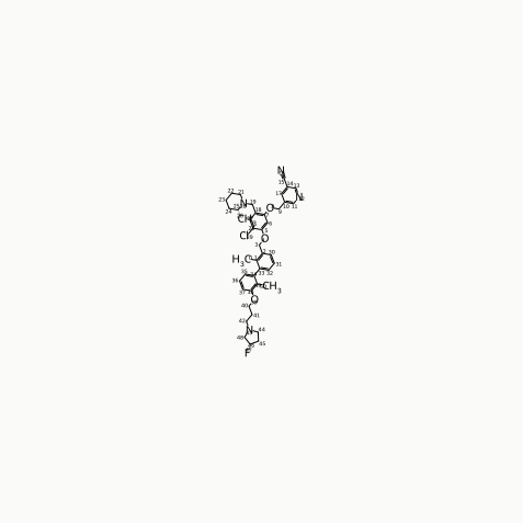 Cc1c(COc2cc(OCc3cncc(C#N)c3)c(CN3CCCC[C@H]3C)cc2Cl)cccc1-c1cccc(OCCCN2CC[C@H](F)C2)c1C